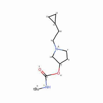 CC(C)(C)NC(=O)OC1CCN(CCC2CC2)C1